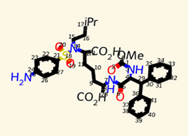 COC(=O)N[C@H](C(=O)NC(CCCC(C(=O)O)N(CCC(C)C)S(=O)(=O)c1ccc(N)cc1)C(=O)O)C(c1ccccc1)c1ccccc1